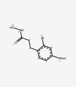 CCCC(C)c1ccc(CCC(=O)NO)c(Br)c1